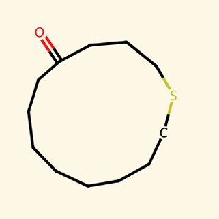 O=C1CCCCCCCCSCCC1